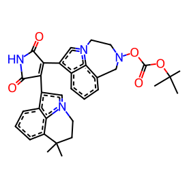 CC(C)(C)OC(=O)ON1CCn2cc(C3=C(c4cn5c6c(cccc46)C(C)(C)CC5)C(=O)NC3=O)c3cccc(c32)C1